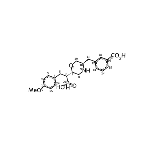 COc1ccc(CC([C@H]2CN[C@H](Cc3cccc(C(=O)O)c3)CO2)[PH](=O)O)cc1